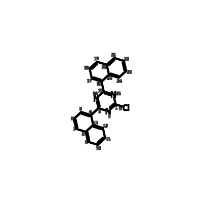 Clc1nc(-c2cccc3ccccc23)nc(-c2cccc3ccccc23)n1